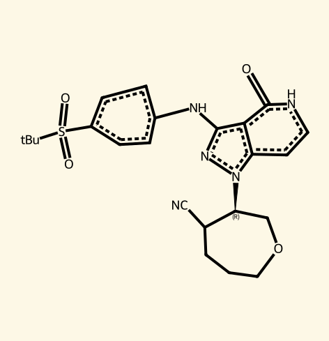 CC(C)(C)S(=O)(=O)c1ccc(Nc2nn([C@H]3COCCCC3C#N)c3cc[nH]c(=O)c23)cc1